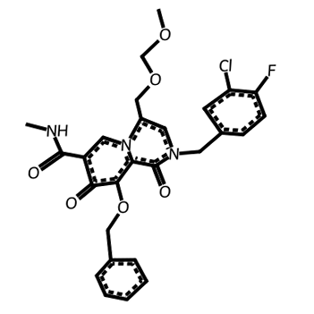 CNC(=O)c1cn2c(COCOC)cn(Cc3ccc(F)c(Cl)c3)c(=O)c2c(OCc2ccccc2)c1=O